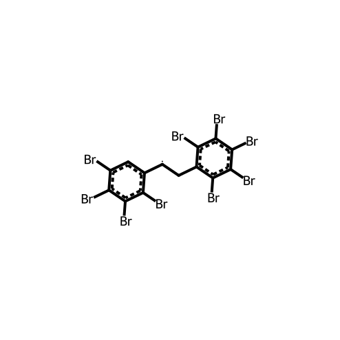 Brc1cc([CH]Cc2c(Br)c(Br)c(Br)c(Br)c2Br)c(Br)c(Br)c1Br